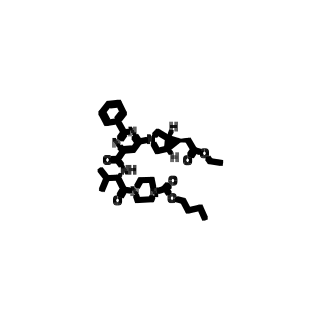 CCCCOC(=O)N1CCN(C(=O)[C@@H](NC(=O)c2cc(N3C[C@@H]4[C@@H](CC(=O)OCC)[C@@H]4C3)nc(-c3ccccc3)n2)C(C)C)CC1